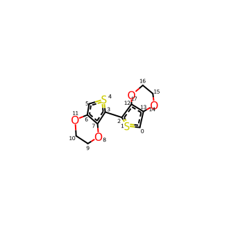 c1sc(-c2scc3c2OCCO3)c2c1OCCO2